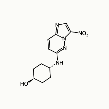 O=[N+]([O-])c1cnc2ccc(N[C@H]3CC[C@H](O)CC3)nn12